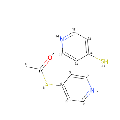 CC(=O)Sc1ccncc1.Sc1ccncc1